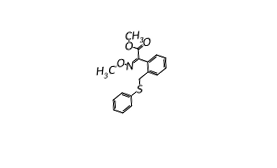 CON=C(C(=O)OC)c1ccccc1CSc1ccccc1